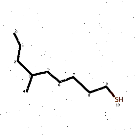 CCCC(C)CCCCCS